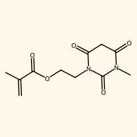 C=C(C)C(=O)OCCN1C(=O)CC(=O)N(C)C1=O